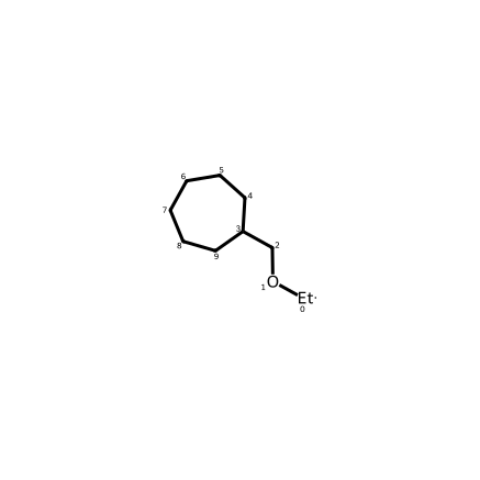 C[CH]OCC1CCCCCC1